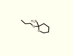 CCCOC1([SiH3])CCCCO1